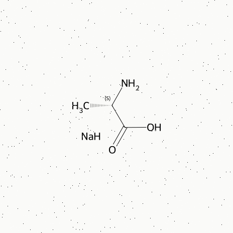 C[C@H](N)C(=O)O.[NaH]